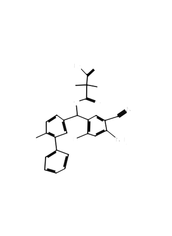 Cc1ccc(C(OC(=O)C(C)(C)C(=O)O)c2cc(C#N)c(N)cc2F)cc1-c1ccccc1